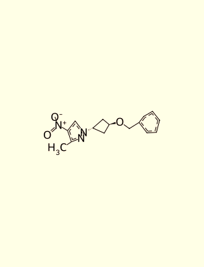 Cc1nn([C@H]2C[C@H](OCc3ccccc3)C2)cc1[N+](=O)[O-]